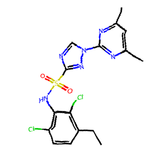 CCc1ccc(Cl)c(NS(=O)(=O)c2ncn(-c3nc(C)cc(C)n3)n2)c1Cl